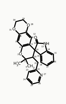 CC1(C)Oc2cc3c(cc2C2(C(=O)Nc4ccccc42)C1Cc1ccccn1)OCCO3